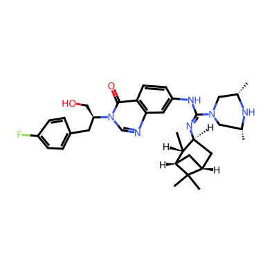 C[C@@H]1[C@@H](N=C(Nc2ccc3c(=O)n([C@H](CO)Cc4ccc(F)cc4)cnc3c2)N2C[C@@H](C)N[C@@H](C)C2)C[C@H]2C[C@@H]1C2(C)C